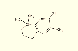 Cc1cc2c(cc1O)[Si](C)(C)CCC2